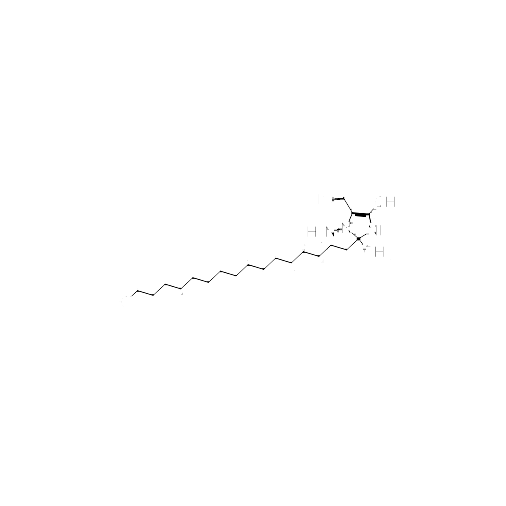 CCCCCCCCCCCCCCCCCC1(C)NC(C)=C(CO)N1N